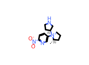 C[C@H]1CCC[N+]1(c1ccc([N+](=O)[O-])nc1)[C@H]1CCNC1